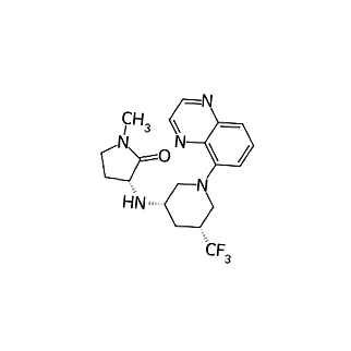 CN1CC[C@@H](N[C@H]2C[C@@H](C(F)(F)F)CN(c3cccc4nccnc34)C2)C1=O